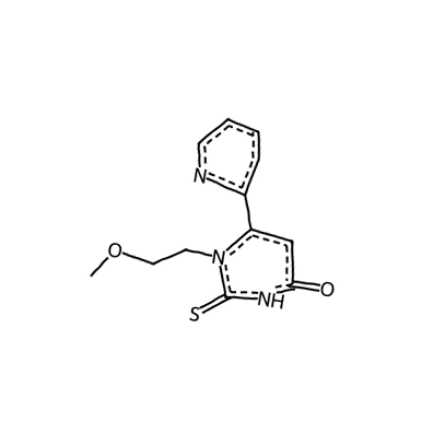 COCCn1c(-c2ccccn2)cc(=O)[nH]c1=S